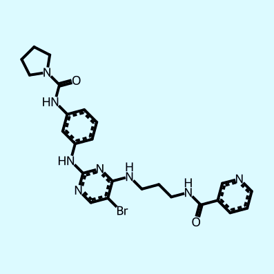 O=C(NCCCNc1nc(Nc2cccc(NC(=O)N3CCCC3)c2)ncc1Br)c1cccnc1